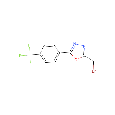 FC(F)(F)c1ccc(-c2nnc(CBr)o2)cc1